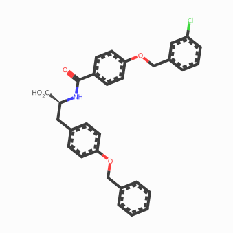 O=C(N[C@@H](Cc1ccc(OCc2ccccc2)cc1)C(=O)O)c1ccc(OCc2cccc(Cl)c2)cc1